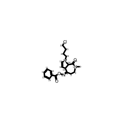 CN1CC/C(=N/OC(=O)c2ccccc2)C2C=CN(CCCCCl)C2C1=O